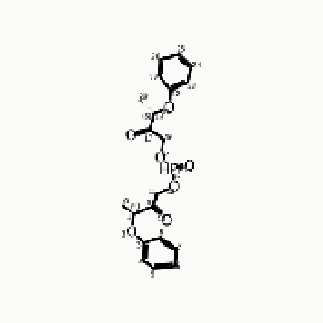 C[C@H](Oc1ccccc1)C(=O)CO[PH](=O)OCC(=O)[C@H](C)Oc1ccccc1